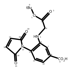 CC(C)(C)OC(=O)CNc1cc(C(=O)O)ccc1N1C(=O)C=CC1=O